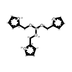 c1coc(COB(OCc2ccco2)OCc2ccco2)c1